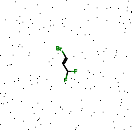 FC(F)C=CBr